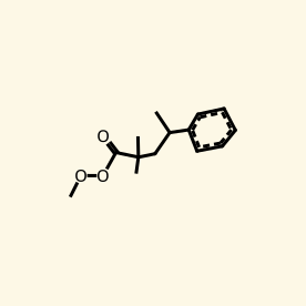 COOC(=O)C(C)(C)CC(C)c1ccccc1